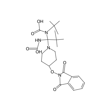 CC(C)(C)N(C(=O)O)C(NC(=O)O)(N1CCC(ON2C(=O)c3ccccc3C2=O)CC1)C(C)(C)C